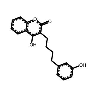 O=c1oc2ccccc2c(O)c1CCCCc1cccc(O)c1